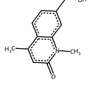 Cc1cc(=O)n(C)c2cc(CO)ccc12